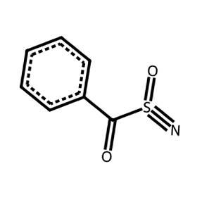 N#S(=O)C(=O)c1ccccc1